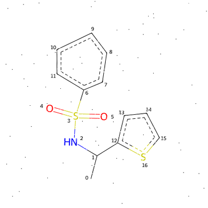 CC(NS(=O)(=O)c1ccccc1)c1cccs1